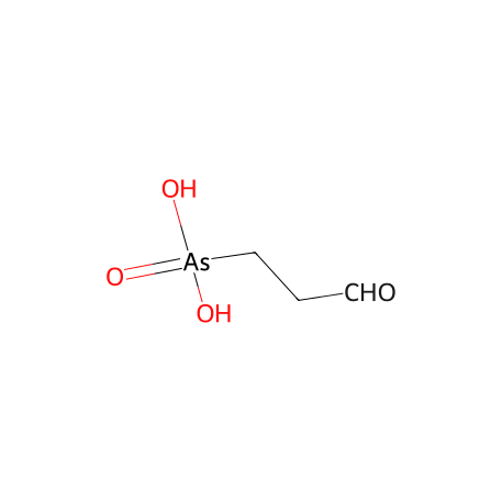 O=CCC[As](=O)(O)O